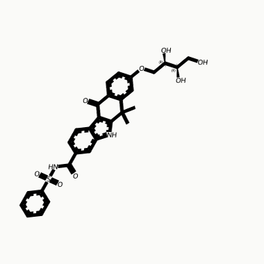 CC1(C)c2cc(OC[C@@H](O)[C@H](O)CO)ccc2C(=O)c2c1[nH]c1cc(C(=O)NS(=O)(=O)c3ccccc3)ccc21